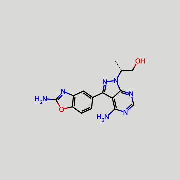 C[C@H](CO)n1nc(-c2ccc3oc(N)nc3c2)c2c(N)ncnc21